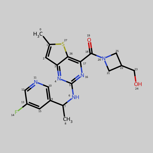 Cc1cc2nc(NC(C)c3cncc(F)c3)nc(C(=O)N3CC(CO)C3)c2s1